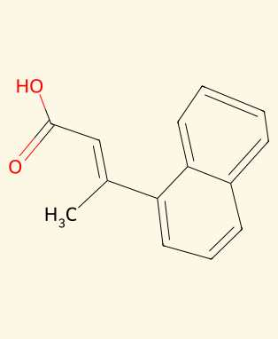 CC(=CC(=O)O)c1cccc2ccccc12